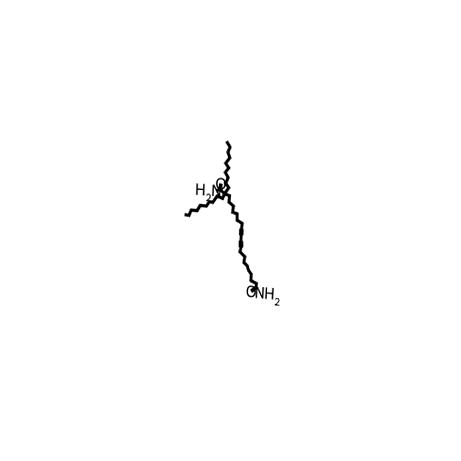 CCCCCCCCCCC(CCCCCCCC#CC#CCCCCCCCCC(N)=O)(CCCCCCCCCC)C(N)=O